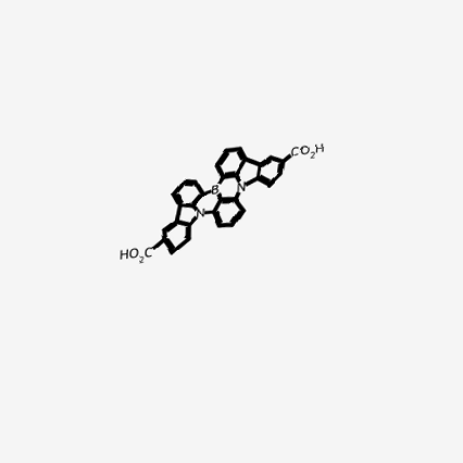 O=C(O)c1ccc2c(c1)c1cccc3c1n2-c1cccc2c1B3c1cccc3c4cc(C(=O)O)ccc4n-2c13